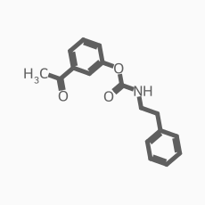 CC(=O)c1cccc(OC(=O)NCCc2ccccc2)c1